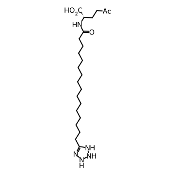 CC(=O)CC[C@H](NC(=O)CCCCCCCCCCCCCCCC1=NNNN1)C(=O)O